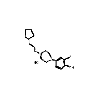 Cl.Oc1ccc(N2CCN(CCCC3CCCC3)CC2)cc1F